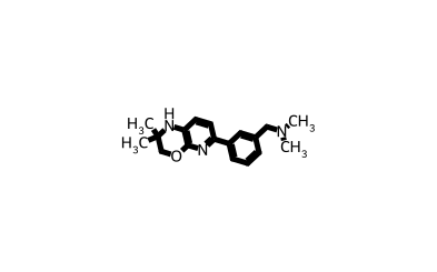 CN(C)Cc1cccc(-c2ccc3c(n2)OCC(C)(C)N3)c1